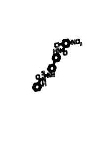 O=C(NC(=S)Nc1ccc(-c2ccc(NC(=O)c3cc([N+](=O)[O-])ccc3Cl)cc2)cc1)c1ccccc1